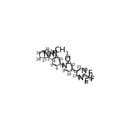 Cn1c2c(c3ccc(-n4ccc(-c5cnc(C(F)(F)F)nc5)cc4=O)cc31)C1CCC(C2)N1